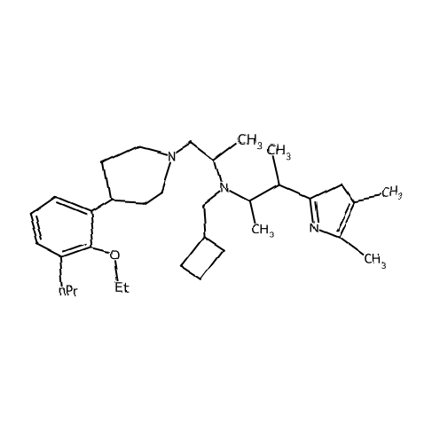 CCCc1cccc(C2CCN(CC(C)N(CC3CCC3)C(C)C(C)C3=NC(C)=C(C)C3)CC2)c1OCC